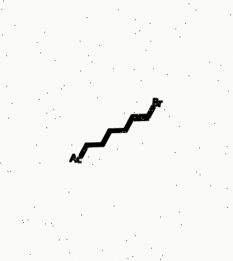 CC(=O)CCCCC=CBr